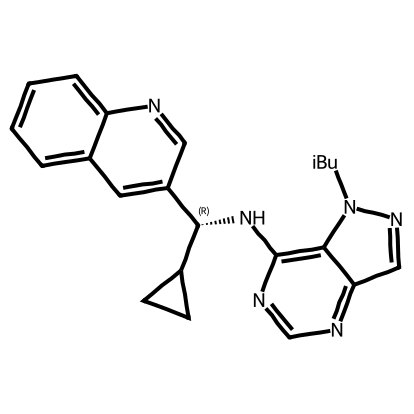 CCC(C)n1ncc2ncnc(N[C@@H](c3cnc4ccccc4c3)C3CC3)c21